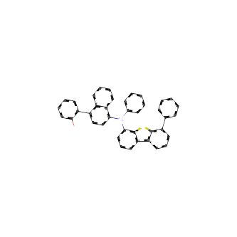 Oc1ccccc1-c1ccc(N(c2ccccc2)c2cccc3c2sc2c(-c4ccccc4)cccc23)c2ccccc12